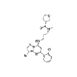 CN(CCCNc1cc(-c2ccccc2Cl)nc2c(Br)cnn12)C(=O)C1CCOC1